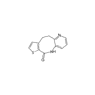 O=C1Nc2cccnc2CCc2ccsc21